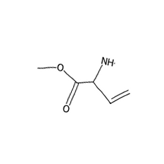 C=CC([NH])C(=O)OC